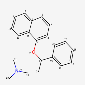 CC(Oc1cccc2ccccc12)c1ccccc1.CN(C)C